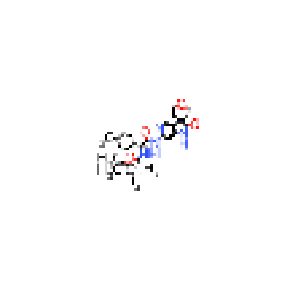 C=C(N[C@H](C(=O)Nc1cc2c(cn1)C1(CCOCC1)C(=O)N2)[C@H]1CC[C@H](C)CC1)OC(C)(C)C